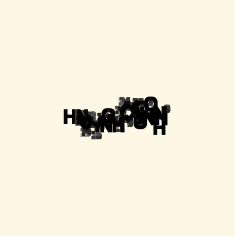 CNC(=O)NS(=O)(=O)c1cc(CC(=O)NC(C)(C)c2cc[nH]c2)ccc1C